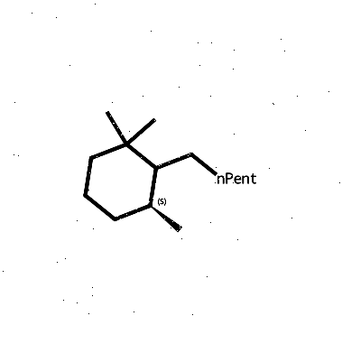 CCC[CH]CCC1[C@@H](C)CCCC1(C)C